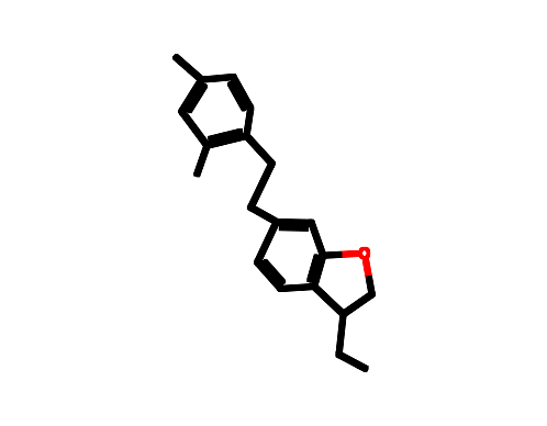 CCC1COc2cc(CCc3ccc(C)cc3C)ccc21